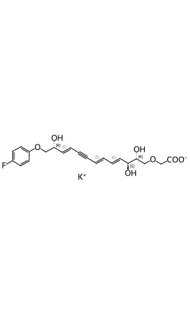 O=C([O-])COC[C@@H](O)[C@@H](O)/C=C/C=C/C#C/C=C/[C@@H](O)COc1ccc(F)cc1.[K+]